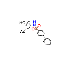 CC(=O)CC[C@H](NS(=O)(=O)c1ccc(-c2ccccc2)cc1)C(=O)O